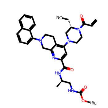 C=CC(=O)N1CCN(c2cc(C(=O)N[C@H](C)CNC(=O)OC(C)(C)C)nc3c2CCN(c2cccc4ccccc24)C3)C[C@@H]1CC#N